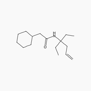 C=CCC(CC)(CC)NC(=O)CC1CCCCC1